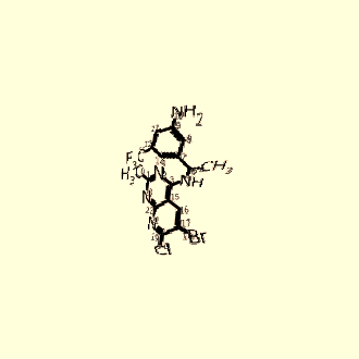 Cc1nc(N[C@H](C)c2cc(N)cc(C(F)(F)F)c2)c2cc(Br)c(Cl)nc2n1